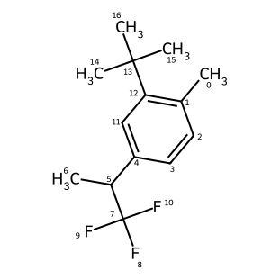 Cc1ccc(C(C)C(F)(F)F)cc1C(C)(C)C